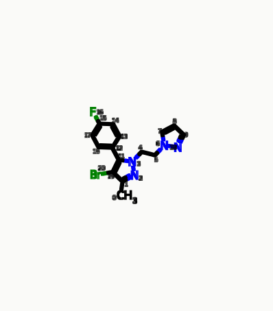 Cc1nn(CCn2cccn2)c(-c2ccc(F)cc2)c1Br